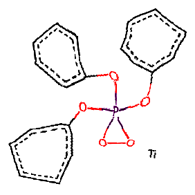 [Ti].c1ccc(OP2(Oc3ccccc3)(Oc3ccccc3)OO2)cc1